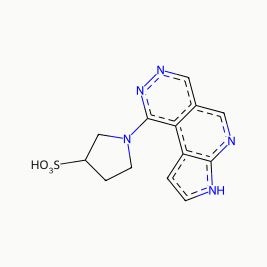 O=S(=O)(O)C1CCN(c2nncc3cnc4[nH]ccc4c23)C1